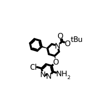 CC(C)(C)OC(=O)N1C[C@H](Oc2cc(Cl)nnc2N)C[C@@H](c2ccccc2)C1